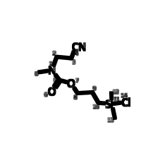 CN(CCC#N)C(=O)OCCC[Si](C)(C)Cl